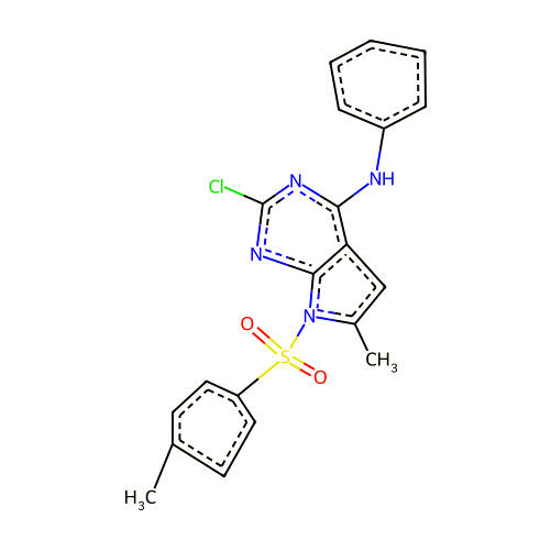 Cc1ccc(S(=O)(=O)n2c(C)cc3c(Nc4ccccc4)nc(Cl)nc32)cc1